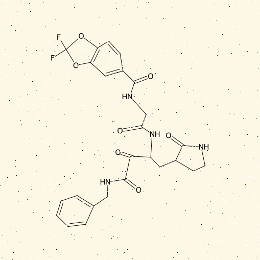 O=C(CNC(=O)c1ccc2c(c1)OC(F)(F)O2)NC(CC1CCNC1=O)C(=O)C(=O)NCc1ccccc1